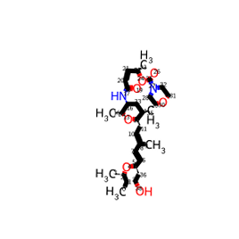 CC[C@H](C)O[C@H](/C=C/C(C)=C/C[C@@H]1O[C@H](C)[C@H](NC(=O)/C=C\[C@H](C)OC(=O)N2CCOCC2)C[C@@H]1C)CCO